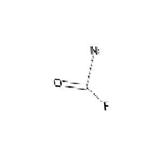 [N]C(=O)F